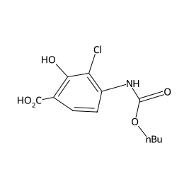 CCCCOC(=O)Nc1ccc(C(=O)O)c(O)c1Cl